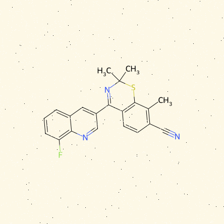 Cc1c(C#N)ccc2c1SC(C)(C)N=C2c1cnc2c(F)cccc2c1